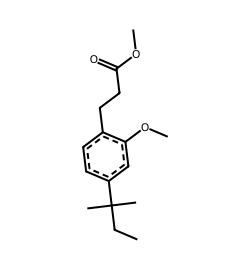 CCC(C)(C)c1ccc(CCC(=O)OC)c(OC)c1